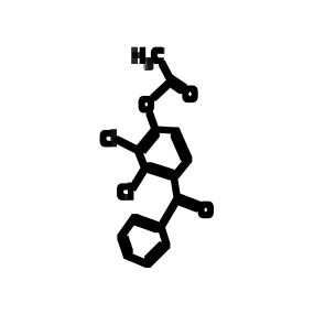 CC(=O)Oc1ccc(C(=O)c2ccccc2)c(Cl)c1Cl